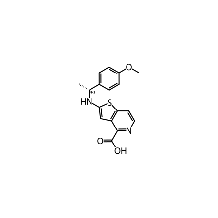 COc1ccc([C@@H](C)Nc2cc3c(C(=O)O)nccc3s2)cc1